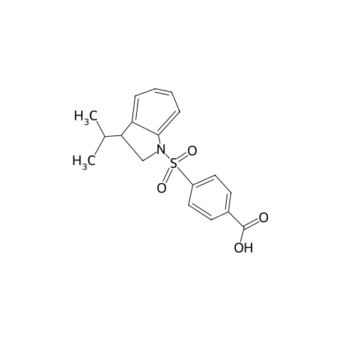 CC(C)C1CN(S(=O)(=O)c2ccc(C(=O)O)cc2)c2ccccc21